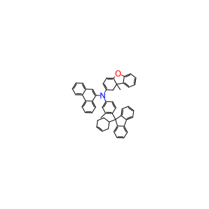 Cc1cc(N(C2=CC=C3Oc4ccccc4C3(C)C2)c2cc3ccccc3c3ccccc23)ccc1C1(C2CC=CCC2)c2ccccc2-c2ccccc21